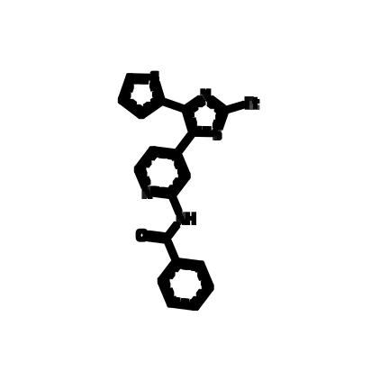 CCc1nc(-c2cccs2)c(-c2ccnc(NC(=O)c3ccccc3)c2)s1